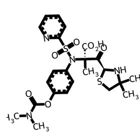 CN(C)C(=O)Oc1ccc(N([C@@](C)(C(=O)O)C(=O)[C@H]2NC(C)(C)CS2)S(=O)(=O)c2ccccn2)cc1